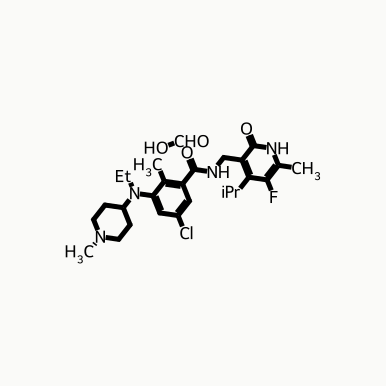 CCN(c1cc(Cl)cc(C(=O)NCc2c(C(C)C)c(F)c(C)[nH]c2=O)c1C)C1CCN(C)CC1.O=CO